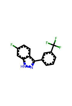 Fc1ccc2c(-c3cccc(C(F)(F)F)c3)n[nH]c2c1